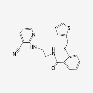 N#Cc1cccnc1NCCNC(=O)c1ccccc1SCc1cccs1